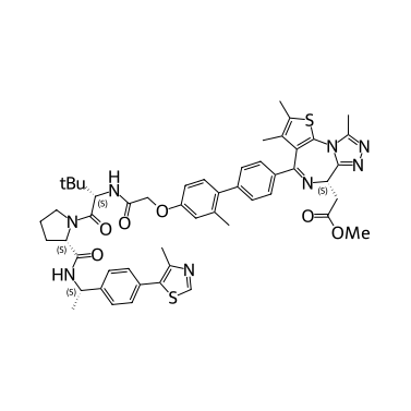 COC(=O)C[C@@H]1N=C(c2ccc(-c3ccc(OCC(=O)N[C@H](C(=O)N4CCC[C@H]4C(=O)N[C@@H](C)c4ccc(-c5scnc5C)cc4)C(C)(C)C)cc3C)cc2)c2c(sc(C)c2C)-n2c(C)nnc21